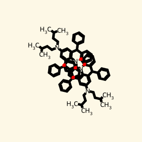 CC(C)CCN(CCC(C)C)c1cc(C(c2ccccc2)c2ccccc2)c(N2C=[N+](c3c(C(c4ccccc4)c4ccccc4)cc(N(CCC(C)C)CCC(C)C)cc3C(c3ccccc3)c3ccccc3)CC2)c(C(c2ccccc2)c2ccccc2)c1